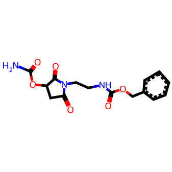 NC(=O)OC1CC(=O)N(CCNC(=O)OCc2ccccc2)C1=O